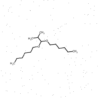 CCCCCCOC(OCCCCCC)C(C)C